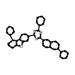 c1ccc(-c2ccc3cc(-c4nc(-c5ccccc5)nc(-c5ccc6c(c5)oc5cccc(-c7ccccc7)c56)n4)ccc3c2)cc1